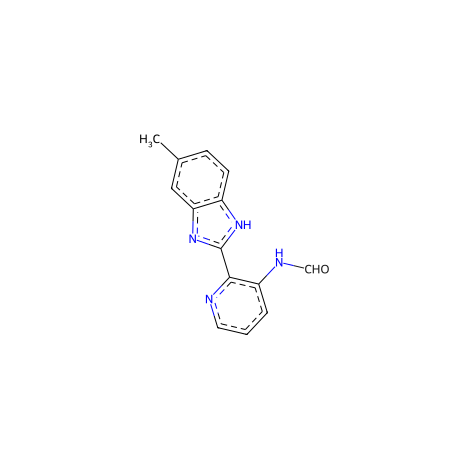 Cc1ccc2[nH]c(-c3ncccc3NC=O)nc2c1